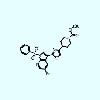 CC(C)(C)OC(=O)N1CCC(c2csc(-c3cn(S(=O)(=O)c4ccccc4)c4ncc(Br)cc34)n2)CC1